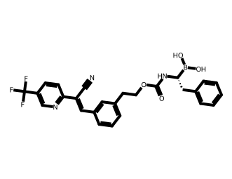 N#CC(=Cc1cccc(CCOC(=O)N[C@@H](Cc2ccccc2)B(O)O)c1)c1ccc(C(F)(F)F)cn1